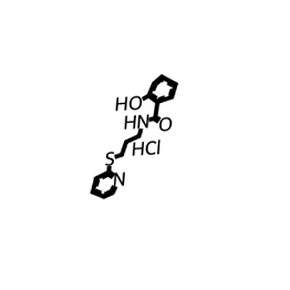 Cl.O=C(NCCCSc1ccccn1)c1ccccc1O